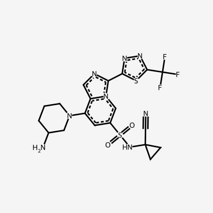 N#CC1(NS(=O)(=O)c2cc(N3CCCC(N)C3)c3cnc(-c4nnc(C(F)(F)F)s4)n3c2)CC1